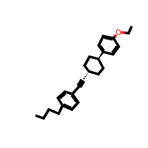 CCCCc1ccc(C#C[C@H]2CC[C@H](c3ccc(OCC)cc3)CC2)cc1